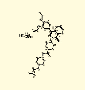 CCOc1ccc(C2=NN(C3CCN(C(=O)CN4CCN(CCN(C)C)CC4)CC3)C(=O)[C@@H]3CC=CC[C@H]23)cc1OCC.Cl.Cl.Cl